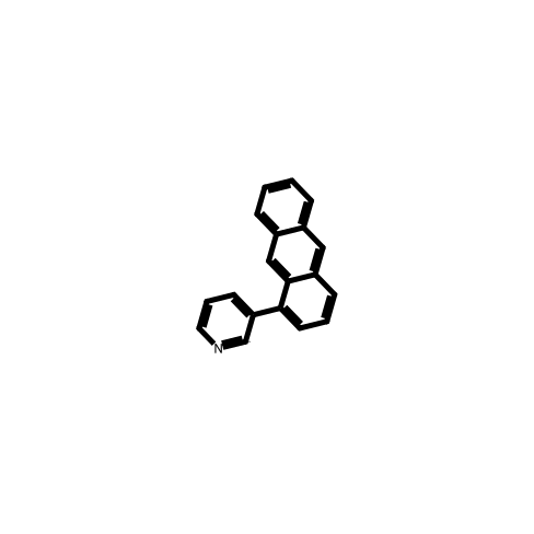 [c]1ncccc1-c1cccc2cc3ccccc3cc12